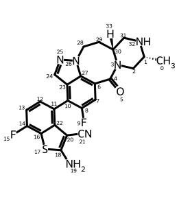 C[C@@H]1CN2C(=O)c3cc(F)c(-c4ccc(F)c5sc(N)c(C#N)c45)c4cnn(c34)CC[C@@H]2CN1